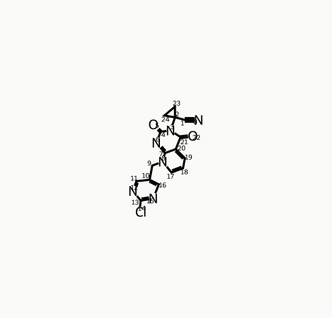 N#CC1(n2c(=O)nc3n(Cc4cnc(Cl)nc4)cccc-3c2=O)CC1